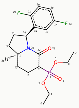 CCOP(=O)(OCC)C1CC[C@H]2CC[C@@H](c3cc(F)ccc3F)N2C1=O